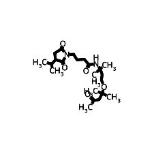 CC(=O)CC(C)(C)OCCC(C)(C)NC(=O)CCCN1C(=O)CC(C(C)C)C1=O